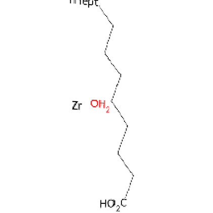 CCCCCCCCCCCCCCC(=O)O.O.[Zr]